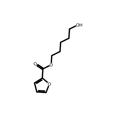 O=C(OCCCCCO)c1ccco1